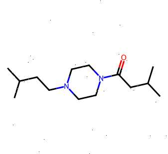 CC(C)CCN1CCN(C(=O)CC(C)C)CC1